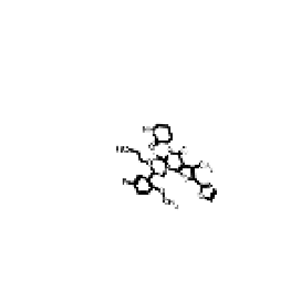 COc1ccc(F)cc1[C@H](Cn1c(=O)n([C@H]2CCCNC2=O)c(=O)c2c(C)c(-c3ncco3)sc21)OCCO